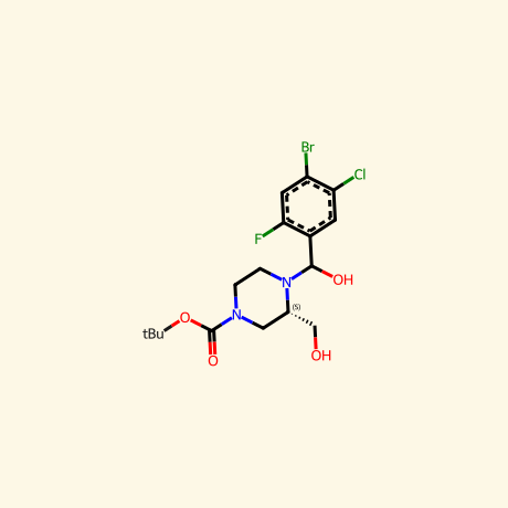 CC(C)(C)OC(=O)N1CCN(C(O)c2cc(Cl)c(Br)cc2F)[C@H](CO)C1